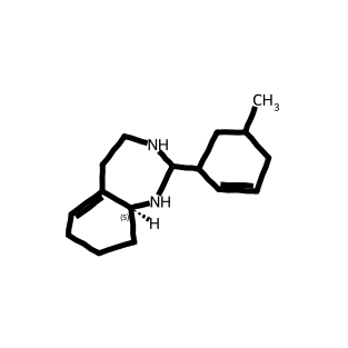 CC1CC=CC(C2NCCC3=CCCC[C@@H]3N2)C1